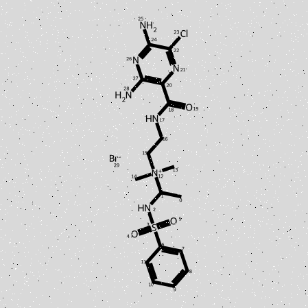 CC(NS(=O)(=O)c1ccccc1)[N+](C)(C)CCNC(=O)c1nc(Cl)c(N)nc1N.[Br-]